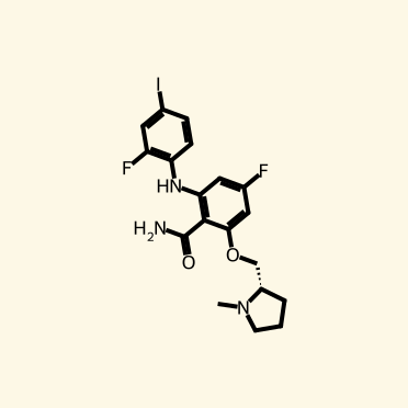 CN1CCC[C@H]1COc1cc(F)cc(Nc2ccc(I)cc2F)c1C(N)=O